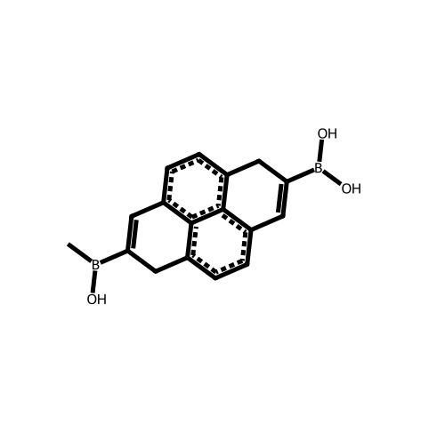 CB(O)C1=Cc2ccc3c4c(ccc(c24)C1)C=C(B(O)O)C3